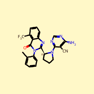 Cc1ccccc1-n1c([C@@H]2CCCN2c2ncnc(N)c2C#N)nc2cccc(C(F)(F)F)c2c1=O